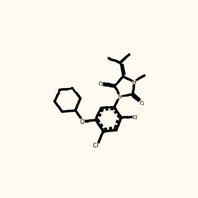 CC(C)=C1C(=O)N(c2cc(OC3CCCCC3)c(Cl)cc2Cl)C(=O)N1C